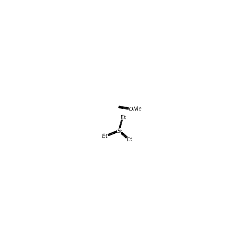 CC[Si](CC)CC.COC